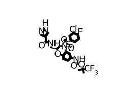 CC(C)(OC(=O)Nc1ccc2c(c1)N(S(=O)(=O)c1ccc(F)c(Cl)c1)C[C@H](CNC(=O)c1cn[nH]c1)O2)C(F)(F)F